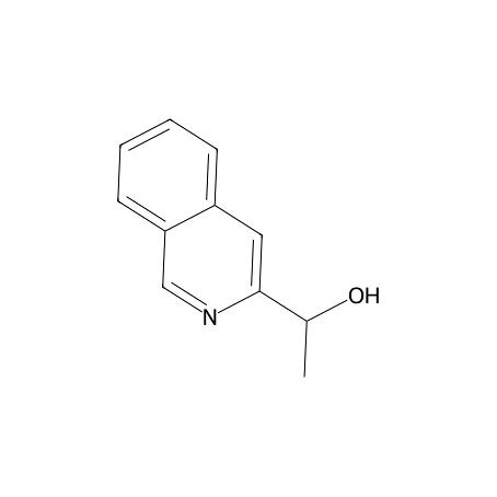 CC(O)c1cc2ccccc2cn1